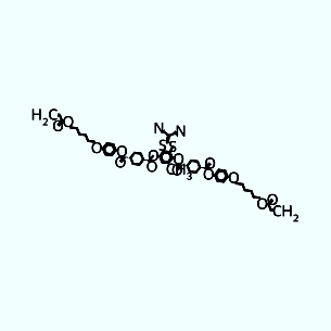 C=CC(=O)OCCCCCCOc1ccc(OC(=O)[C@H]2CC[C@H](C(=O)Oc3cc(C)c(OC(=O)[C@H]4CC[C@H](C(=O)Oc5ccc(OCCCCCCOC(=O)C=C)cc5)CC4)c4c3SC(=C(C#N)C#N)S4)CC2)cc1